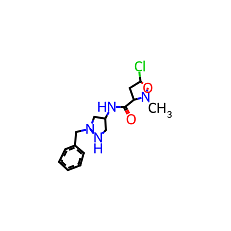 CN1OC(Cl)CC1C(=O)NC1CNN(Cc2ccccc2)C1